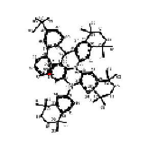 Cc1cc(C)c2c(c1)N(c1ccc3c(c1)C(C)(C)CCC3(C)C)c1cc3c(cc1B2c1cc2c(cc1C(C)c1ccc(C(C)(C)C)cc1-c1ccccc1)C(C)(C)CCC2(C)C)C(C)(C)CCC3(C)C